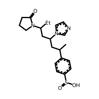 CCC(CC(CC(C)c1ccc(S(=O)O)cc1)n1ccnc1)N1CCCC1=O